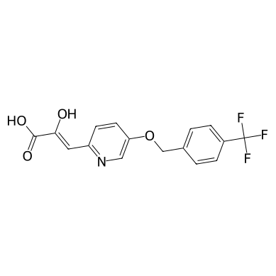 O=C(O)C(O)=Cc1ccc(OCc2ccc(C(F)(F)F)cc2)cn1